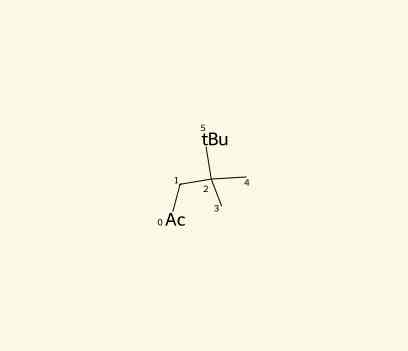 CC(=O)CC(C)(C)C(C)(C)C